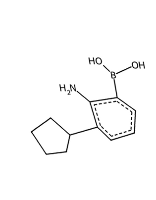 Nc1c(B(O)O)cccc1C1CCCC1